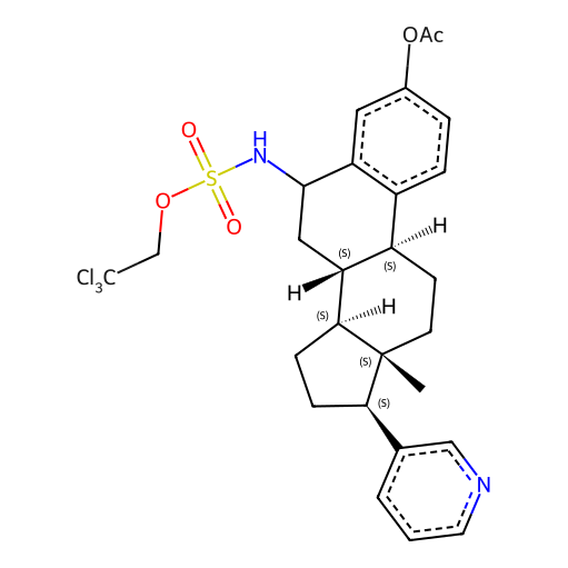 CC(=O)Oc1ccc2c(c1)C(NS(=O)(=O)OCC(Cl)(Cl)Cl)C[C@@H]1[C@@H]2CC[C@]2(C)[C@@H](c3cccnc3)CC[C@@H]12